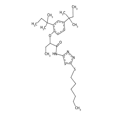 CCCCCCSc1nnc(NC(=O)C(CC)Oc2ccc(C(C)(C)CC)cc2C(C)(C)CC)s1